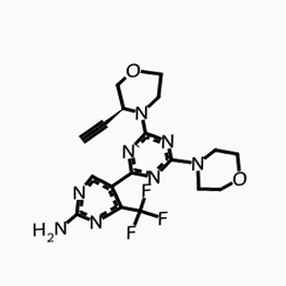 C#C[C@H]1COCCN1c1nc(-c2cnc(N)nc2C(F)(F)F)nc(N2CCOCC2)n1